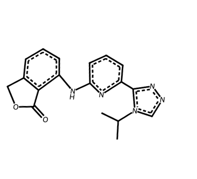 CC(C)n1cnnc1-c1cccc(Nc2cccc3c2C(=O)OC3)n1